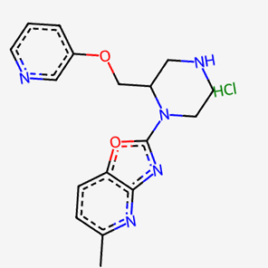 Cc1ccc2oc(N3CCNCC3COc3cccnc3)nc2n1.Cl